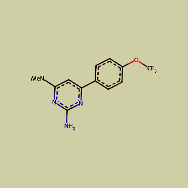 CNc1cc(-c2ccc(OC(F)(F)F)cc2)nc(N)n1